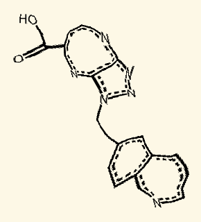 O=C(O)c1cnc2nnn(Cc3ccc4ncccc4c3)c2n1